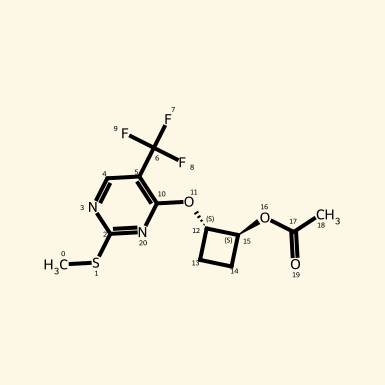 CSc1ncc(C(F)(F)F)c(O[C@H]2CC[C@@H]2OC(C)=O)n1